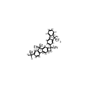 CCCC1(c2ccc3c(c2)C(C)(C(F)(F)F)c2ccccc2-3)Cc2cc3c(cc21)C(CC)(CC)c1cc(C(C)(C)CC)ccc1-3